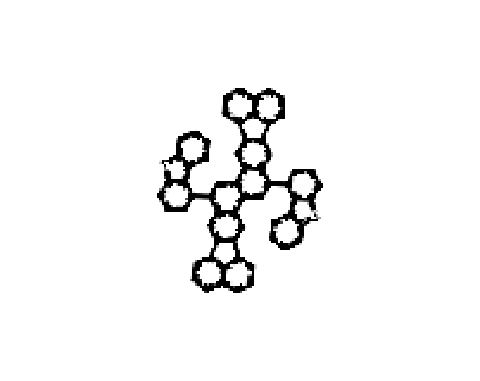 c1cc2c3c(cccc3c1)-c1cc3c(cc1-2)c(-c1cccc2sc4ccccc4c12)cc1c2cc4c(cc2c(-c2cccc5sc6ccccc6c25)cc31)-c1cccc2cccc-4c12